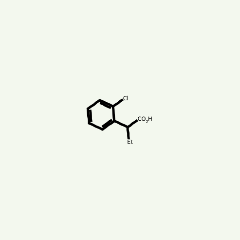 CCC(C(=O)O)c1ccccc1Cl